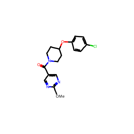 COc1ncc(C(=O)N2CCC(Oc3ccc(Cl)cc3)CC2)cn1